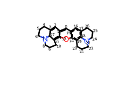 C1=C2C=C3CCCN4CCCC(=C2Oc2c1cc1c5c2CCCN5CCC1)C34